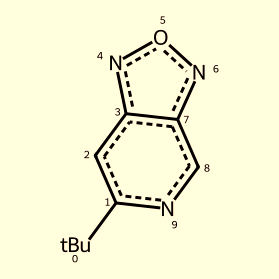 CC(C)(C)c1cc2nonc2cn1